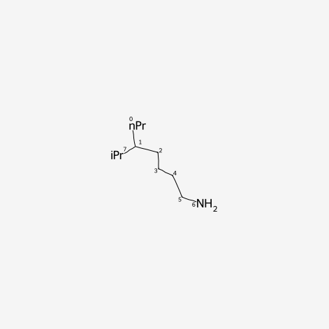 CCCC(CCCCN)C(C)C